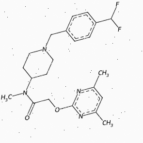 Cc1cc(C)nc(OCC(=O)N(C)C2CCN(Cc3ccc(C(F)F)cc3)CC2)n1